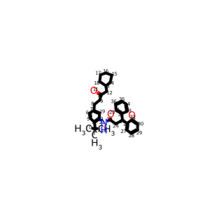 CC(C)(C)c1ccc(CCC(=O)CC2CCCCC2)cc1NC(=O)CC1c2ccccc2Oc2ccccc21